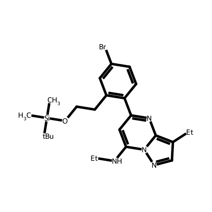 CCNc1cc(-c2ccc(Br)cc2CCO[Si](C)(C)C(C)(C)C)nc2c(CC)cnn12